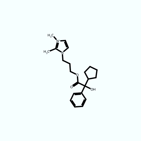 Cc1n(CCCOC(=O)C(O)(c2ccccc2)C2CCCC2)cc[n+]1C